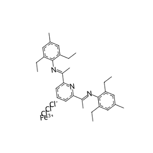 CCc1cc(C)cc(CC)c1N=C(C)c1cccc(C(C)=Nc2c(CC)cc(C)cc2CC)n1.[Cl-].[Cl-].[Cl-].[Fe+3]